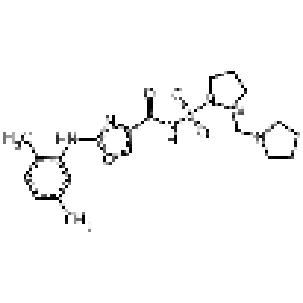 Cc1ccc(C)c(Nc2nc(C(=O)NS(=O)(=O)N3CCC[C@H]3CN3CCCC3)co2)c1